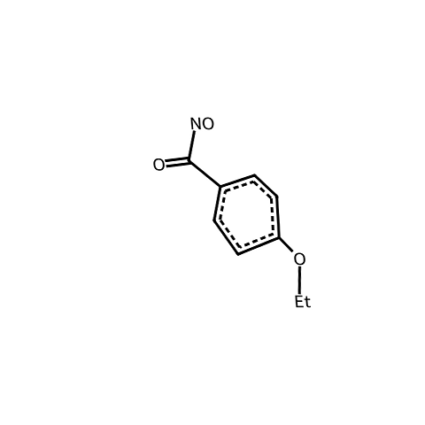 CCOc1ccc(C(=O)N=O)cc1